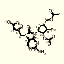 CC(=O)OC[C@H]1O[C@@H](n2c(=O)n(Cc3cc(O)no3)c3cnc(N)nc32)[C@H](OC(C)=O)[C@@H]1F